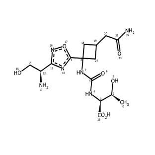 C[C@H](O)[C@H](NC(=O)NC1(c2nc([C@@H](N)CO)no2)CC(CC(N)=O)C1)C(=O)O